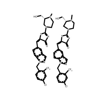 CN1CCN(C2=NC(=O)C(=Cc3ccc4c(cnn4Cc4ccc(Cl)cc4C(F)(F)F)c3)S2)C[C@@H]1CO.CN1CCN(C2=NC(=O)C(=Cc3ccc4c(cnn4Cc4ccc(Cl)cc4C(F)(F)F)c3)S2)C[C@@H]1CO